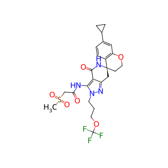 CS(=O)(=O)CC(=O)Nc1c2c(nn1CCCOC(F)(F)F)C[C@@]1(CCOc3cc(C4CC4)ccc31)NC2=O